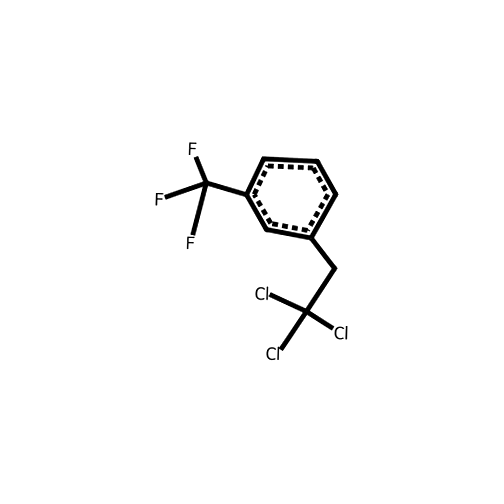 FC(F)(F)c1cccc(CC(Cl)(Cl)Cl)c1